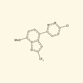 COc1ccc(-c2ccc(Cl)nn2)c2cc(C(F)(F)F)oc12